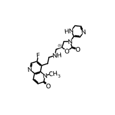 Cn1c(=O)ccc2ncc(F)c(CCNC[C@H]3CN(C4=CN=CCN4)C(=O)O3)c21